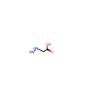 O=NNCC(=O)O